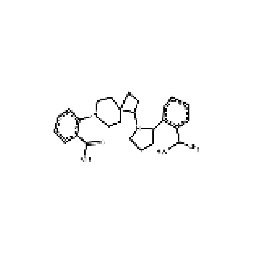 CC(C)c1ccccc1C1CCCN1C1CCC12CCN(c1ccccc1C(=O)O)CC2